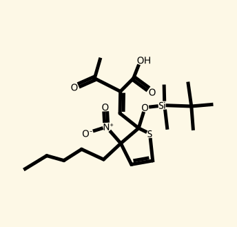 CCCCCC1([N+](=O)[O-])C=CSC1(C=C(C(C)=O)C(=O)O)O[Si](C)(C)C(C)(C)C